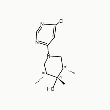 C[C@@H]1CN(c2cc(Cl)ncn2)C[C@H](C)[C@]1(C)O